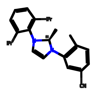 Cc1ccc(C#N)cc1N1C=CN(c2c(C(C)C)cccc2C(C)C)[C@H]1C